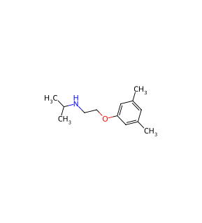 Cc1cc(C)cc(OCCNC(C)C)c1